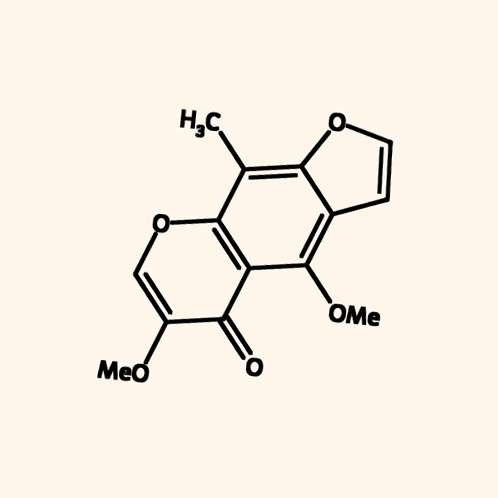 COc1coc2c(C)c3occc3c(OC)c2c1=O